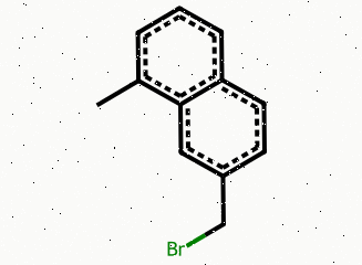 Cc1cccc2ccc(CBr)cc12